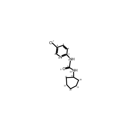 O=C(Nc1ccc(Cl)cn1)NC1CCCCC1